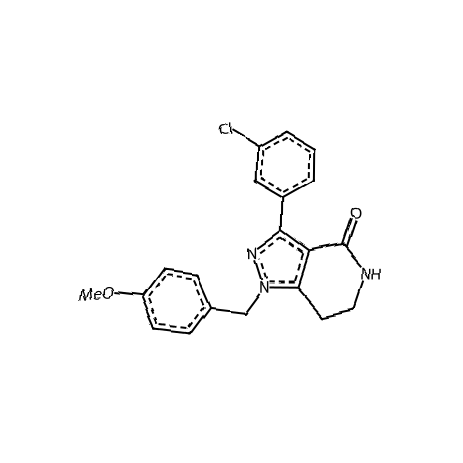 COc1ccc(Cn2nc(-c3cccc(Cl)c3)c3c2CCNC3=O)cc1